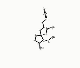 CCCCOC[C@@]1(CCCN=[N+]=[N-])OC[C@H](OC(C)=O)[C@@H]1OCCCC